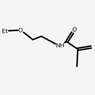 C=C(C)C(=O)NCCOCC